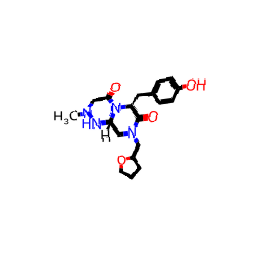 CN1CC(=O)N2[C@H](CN(CC3CCCO3)C(=O)[C@@H]2Cc2ccc(O)cc2)N1